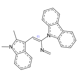 C=N/C(=C\c1c(C)n(C)c2ccccc12)n1c2ccccc2c2ccccc21